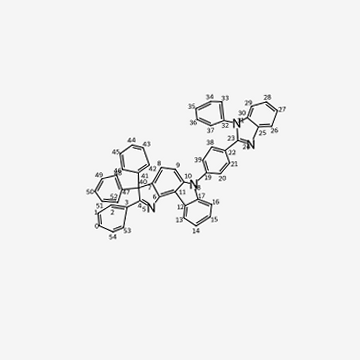 c1ccc(C2=Nc3c(ccc4c3c3ccccc3n4-c3ccc(-c4nc5ccccc5n4-c4ccccc4)cc3)C2(c2ccccc2)c2ccccc2)cc1